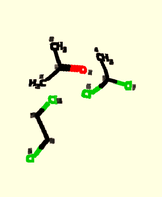 CC(C)=O.CC(Cl)Cl.ClCCCl